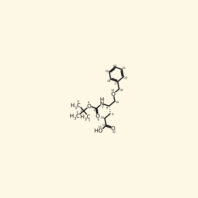 CC(C)(C)OC(=O)N[C@@H](CCC(=O)O)COCc1ccccc1